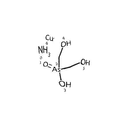 N.O=[As](O)(O)O.[Cu]